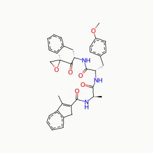 COc1ccc(C[C@H](NC(=O)[C@@H](C)NC(=O)C2=C(C)c3ccccc3C2)C(=O)N[C@@H](Cc2ccccc2)C(=O)[C@]2(C)CO2)cc1